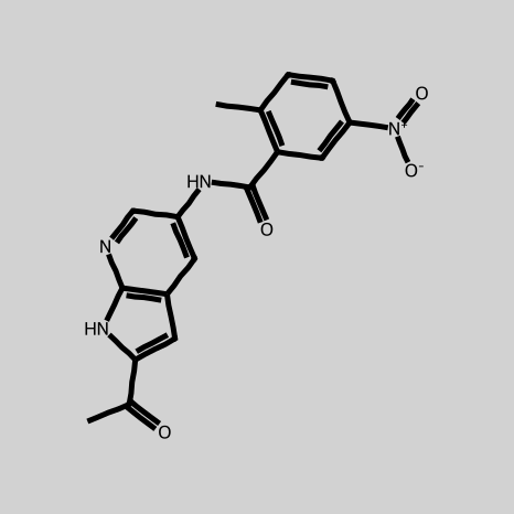 CC(=O)c1cc2cc(NC(=O)c3cc([N+](=O)[O-])ccc3C)cnc2[nH]1